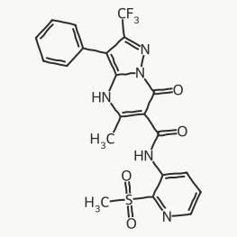 Cc1[nH]c2c(-c3ccccc3)c(C(F)(F)F)nn2c(=O)c1C(=O)Nc1cccnc1S(C)(=O)=O